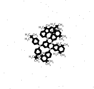 CC(C)(C)c1ccc(N(c2ccc(C(C)(C)C)cc2)c2cc3c4c(c2)N(c2cccc5c2-c2ccc(C(C)(C)C)cc2C5(C)C)c2cc5c(cc2B4c2cc4c(cc2N3c2ccc3c(c2)C(C)(C)CCC3(C)C)C(C)(C)CCC4(C)C)C(C)(C)CCC5(C)C)cc1